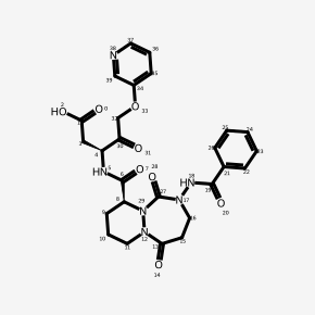 O=C(O)C[C@H](NC(=O)[C@@H]1CCCN2C(=O)CCN(NC(=O)c3ccccc3)C(=O)N12)C(=O)COc1cccnc1